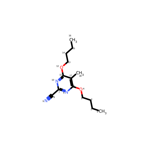 CCCCOc1nc(C#N)nc(OCCCC)c1C